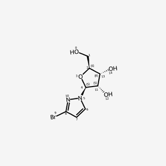 OC[C@@H]1O[C@H](n2ccc(Br)n2)[C@@H](O)[C@H]1O